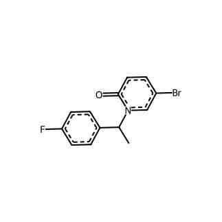 CC(c1ccc(F)cc1)n1cc(Br)ccc1=O